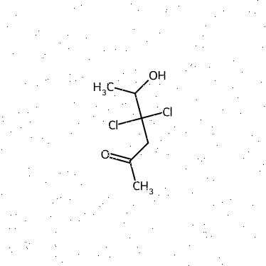 CC(=O)CC(Cl)(Cl)C(C)O